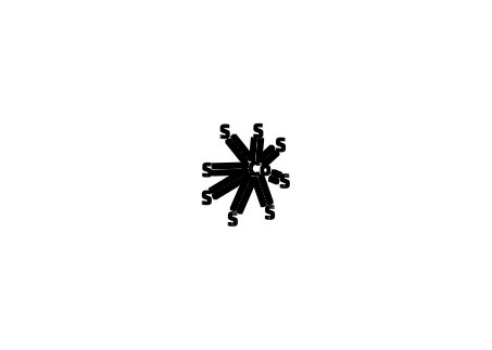 [S]=[Co](=[S])(=[S])(=[S])(=[S])(=[S])(=[S])=[S]